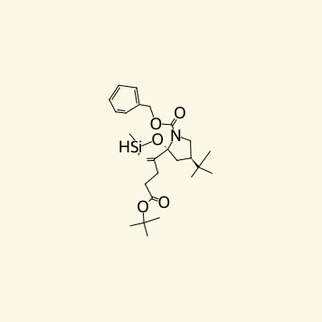 C=C(CCC(=O)OC(C)(C)C)[C@]1(O[SiH](C)C)C[C@H](C(C)(C)C)CN1C(=O)OCc1ccccc1